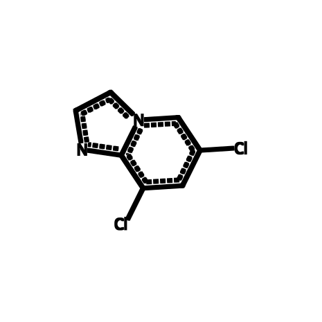 Clc1cc(Cl)c2nccn2c1